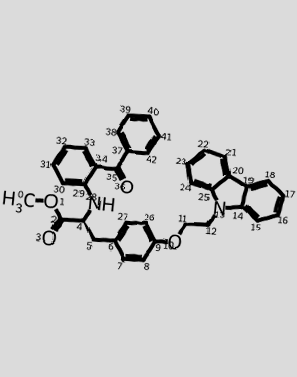 COC(=O)[C@H](Cc1ccc(OCCn2c3ccccc3c3ccccc32)cc1)Nc1ccccc1C(=O)c1ccccc1